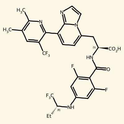 CC[C@@H](Nc1cc(F)c(C(=O)N[C@@H](Cc2ccc(-c3nc(C)c(C)cc3C(F)(F)F)c3nccn23)C(=O)O)c(F)c1)C(F)(F)F